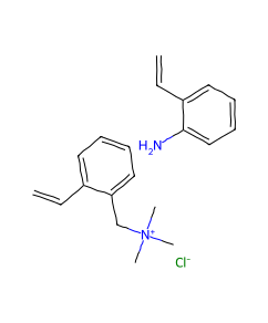 C=Cc1ccccc1C[N+](C)(C)C.C=Cc1ccccc1N.[Cl-]